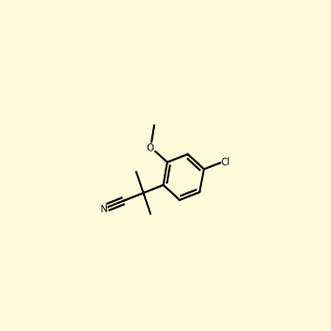 COc1cc(Cl)ccc1C(C)(C)C#N